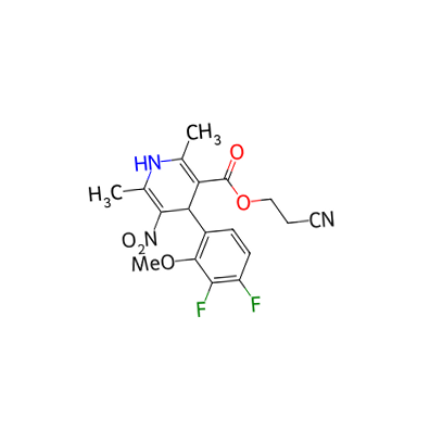 COc1c(C2C(C(=O)OCCC#N)=C(C)NC(C)=C2[N+](=O)[O-])ccc(F)c1F